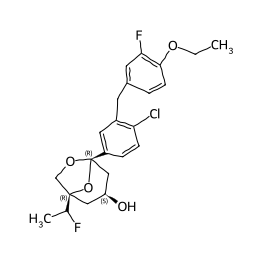 CCOc1ccc(Cc2cc([C@]34C[C@@H](O)C[C@](C(C)F)(CO3)O4)ccc2Cl)cc1F